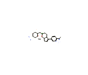 Cc1n[nH]c2cc(C3=CCC4[C@@]56CC[C@]7(C[C@H](N(C)C)[C@@H](O)[C@H](O)C7CC5(Cl)CC[C@]34C)O6)ccc12